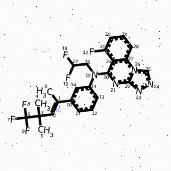 C/C(=C\C(C)(C)C(F)(F)F)c1cccc(N(CC(F)F)c2nc3nncn3c3cccc(F)c23)c1